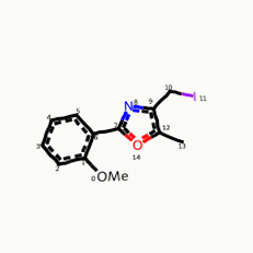 COc1ccccc1-c1nc(CI)c(C)o1